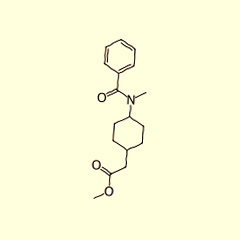 COC(=O)CC1CCC(N(C)C(=O)c2ccccc2)CC1